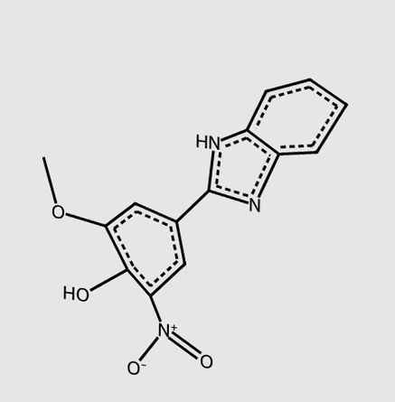 COc1cc(-c2nc3ccccc3[nH]2)cc([N+](=O)[O-])c1O